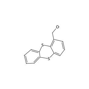 [O]Cc1cccc2c1Sc1ccccc1S2